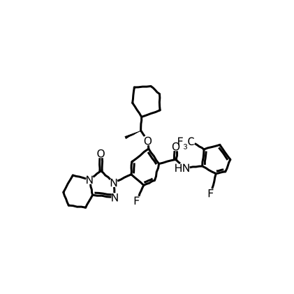 C[C@H](Oc1cc(-n2nc3n(c2=O)CCCC3)c(F)cc1C(=O)Nc1c(F)cccc1C(F)(F)F)C1CCCCC1